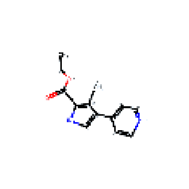 CCOC(=O)c1[nH]cc(-c2ccncc2)c1C